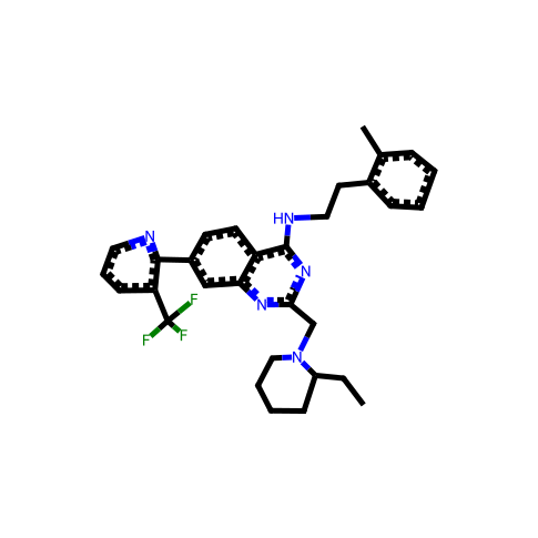 CCC1CCCCN1Cc1nc(NCCc2ccccc2C)c2ccc(-c3ncccc3C(F)(F)F)cc2n1